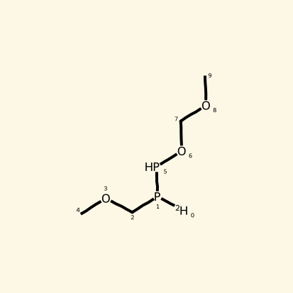 [2H]P(COC)POCOC